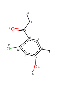 CCC(=O)c1cc(C)c(OC)cc1Cl